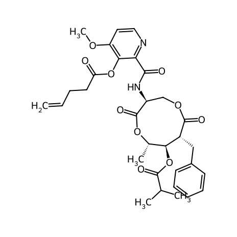 C=CCCC(=O)Oc1c(OC)ccnc1C(=O)N[C@H]1COC(=O)[C@H](Cc2ccccc2)[C@@H](OC(=O)C(C)C)[C@H](C)OC1=O